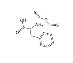 NC(Cc1ccccc1)C(=O)O.S=COC=S